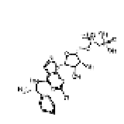 C[C@H](Nc1nc(Cl)nc2c1cnn2[C@@H]1O[C@H](COP(=O)(O)CP(=O)(O)O)[C@@H](O)[C@H]1O)c1ccccc1